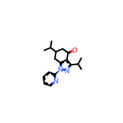 CC(C)c1nn(-c2ccccn2)c2c1C(=O)CC(C(C)C)C2